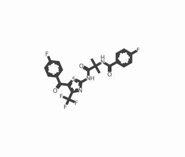 CC(C)(NC(=O)c1ccc(F)cc1)C(=O)Nc1nc(C(F)(F)F)c(C(=O)c2ccc(F)cc2)s1